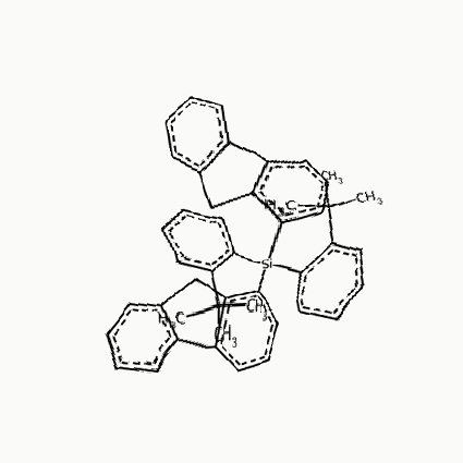 CC(C)(C)c1ccccc1[Si](c1ccccc1C(C)(C)C)(c1cccc2c1Cc1ccccc1-2)c1cccc2c1Cc1ccccc1-2